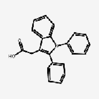 O=C(O)Cc1c(-c2ccccc2)n(-c2ccccc2)c2ccccc12